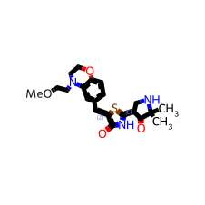 COCCN1CCOc2ccc(/C=c3\s/c(=C4\CNC(C)(C)C4=O)[nH]c3=O)cc21